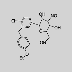 CCOc1ccc(Cc2cc(C3OC(CN=O)C(O)C(N=O)C3O)ccc2Cl)cc1